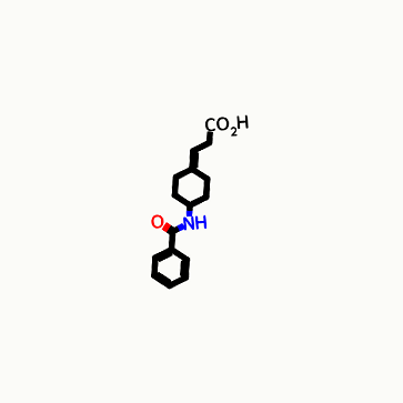 O=C(O)CC=C1CCC(NC(=O)c2ccccc2)CC1